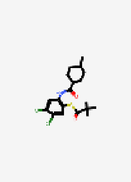 CC1CCC(C(=O)Nc2cc(Cl)c(Cl)cc2SC(=O)C(C)(C)C)CC1